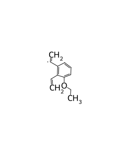 C=[C]c1cccc(OCC)c1C=C